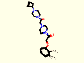 Cc1cccc(OCC(=O)N2CCN(CC(=O)N3CCN(C4CCC4)CC3)CC2)c1C